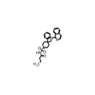 CCCC(=O)NS(=O)(=O)N1CCC(CNc2nccc3ccccc23)(c2ccccc2)CC1